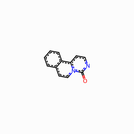 O=c1nccc2c3ccccc3ccn12